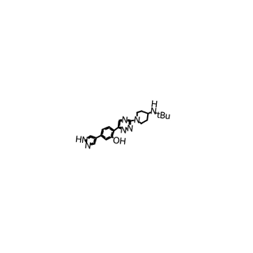 CC(C)(C)NC1CCN(c2ncc(-c3ccc(-c4cn[nH]c4)cc3O)nn2)CC1